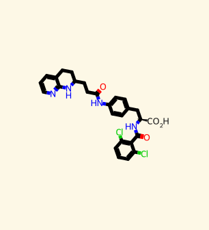 O=C(CCC1CCc2cccnc2N1)Nc1ccc(C[C@H](NC(=O)c2c(Cl)cccc2Cl)C(=O)O)cc1